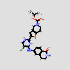 O=C1NCCc2cc(Nc3nc(-c4cc5c(s4)CCN(C(=O)OC(C(F)(F)F)C(F)(F)F)C5)ncc3F)ccc21